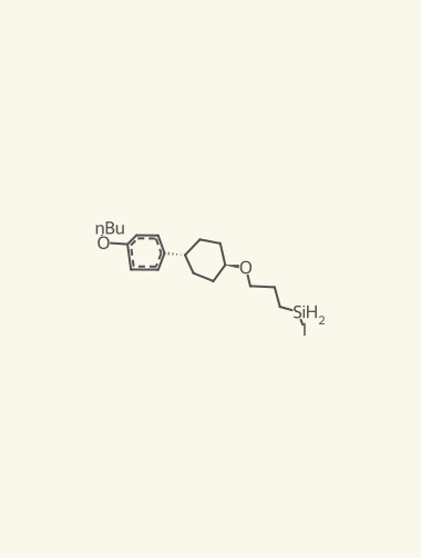 CCCCOc1ccc([C@H]2CC[C@H](OCCC[SiH2]I)CC2)cc1